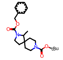 CC1N(C(=O)OCc2ccccc2)CCC12CCN(C(=O)OC(C)(C)C)CC2